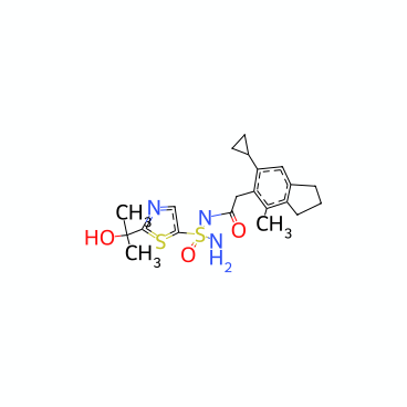 Cc1c2c(cc(C3CC3)c1CC(=O)N=S(N)(=O)c1cnc(C(C)(C)O)s1)CCC2